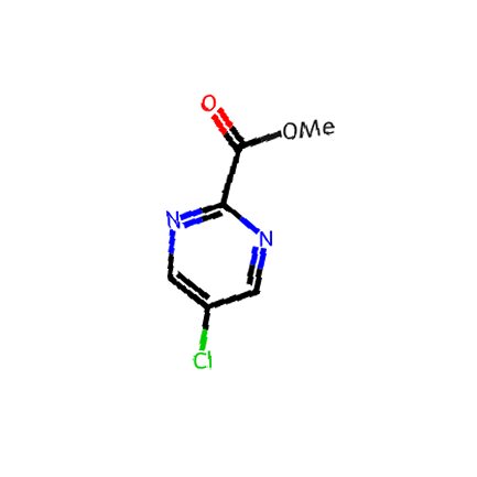 COC(=O)c1ncc(Cl)cn1